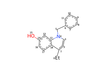 CCC1=C=CN(Cc2ccccc2)c2cc(O)ccc21